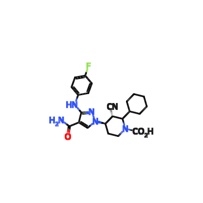 N#C[C@@H]1C(C2CCCCC2)N(C(=O)O)CC[C@H]1n1cc(C(N)=O)c(Nc2ccc(F)cc2)n1